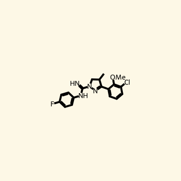 COc1c(Cl)cccc1C1=NN(C(=N)Nc2ccc(F)cc2)CC1C